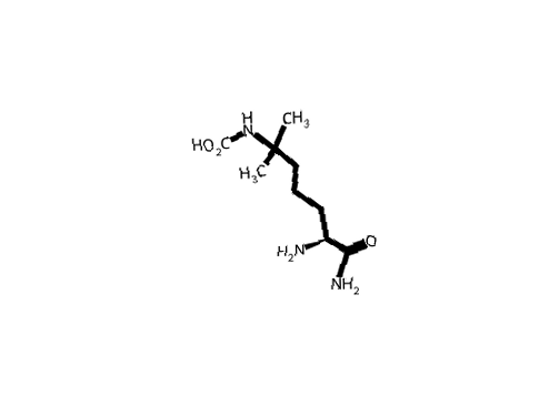 CC(C)(CCC[C@H](N)C(N)=O)NC(=O)O